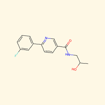 CC(O)CNC(=O)c1ccc(-c2cccc(F)c2)nc1